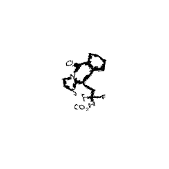 O=C(O)C(F)(F)Cc1c2ccccc2c(=O)n2ccsc12